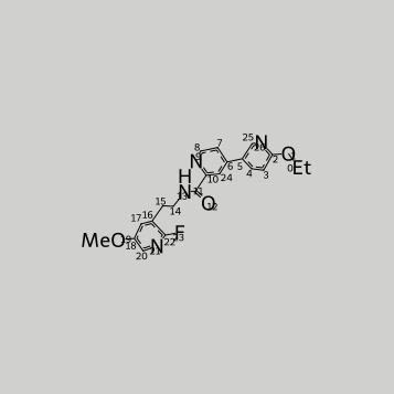 CCOc1ccc(-c2ccnc(C(=O)NCCc3cc(OC)cnc3F)c2)cn1